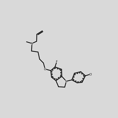 C=CCN(C)CCCCOc1cc2c(cc1F)N(c1ccc(Cl)cc1)CC2